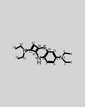 CCN(CC)c1ccc2[nH]c3c(N(CC)CC)cc=3sc2c1